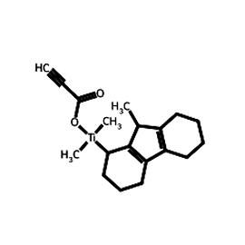 C#CC(=O)[O][Ti]([CH3])([CH3])[CH]1CCCC2=C1C(C)C1=C2CCCC1